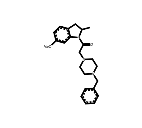 COc1ccc2c(c1)N(C(=O)CN1CCN(Cc3ccccc3)CC1)C(C)C2